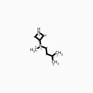 CC(C)CCN(C)C1CNC1